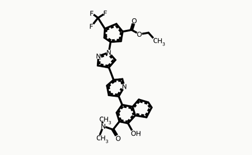 CCOC(=O)c1cc(-n2cc(-c3ccc(-c4cc(C(=O)N(C)C)c(O)c5ccccc45)nc3)cn2)cc(C(F)(F)F)c1